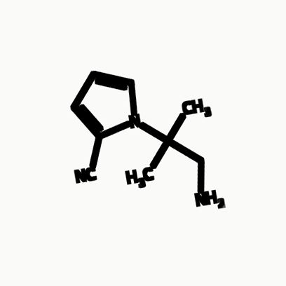 CC(C)(CN)n1cccc1C#N